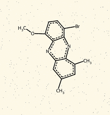 COc1ccc(Br)c2nc3c(C)cc(C)cc3nc12